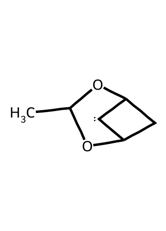 CC1OC2[C]C(C2)O1